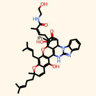 CC(C)=CCCC1(C)C=Cc2c(O)c3c(c(CC=C(C)C)c2O1)OC12C4=C3Nc3nc5ccccc5n3C4C(CC1C(C)C)C(=O)C2(O)C/C=C(/C)C(=O)NCCO